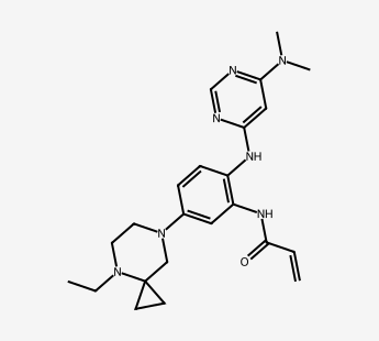 C=CC(=O)Nc1cc(N2CCN(CC)C3(CC3)C2)ccc1Nc1cc(N(C)C)ncn1